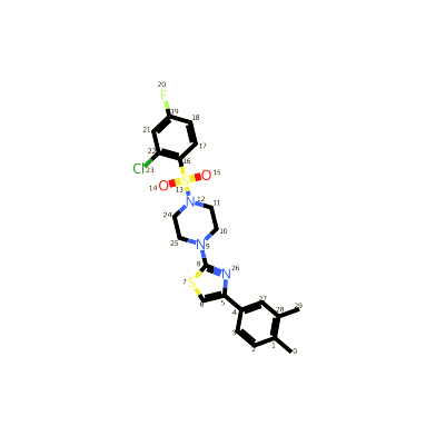 Cc1ccc(-c2csc(N3CCN(S(=O)(=O)c4ccc(F)cc4Cl)CC3)n2)cc1C